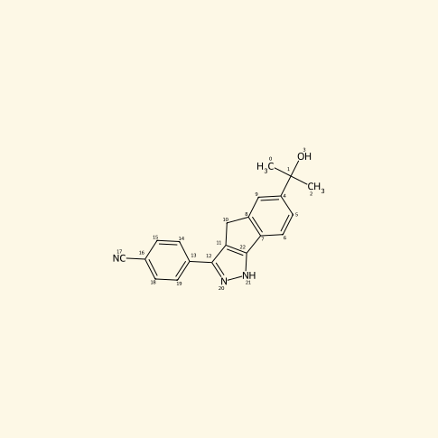 CC(C)(O)c1ccc2c(c1)Cc1c(-c3ccc(C#N)cc3)n[nH]c1-2